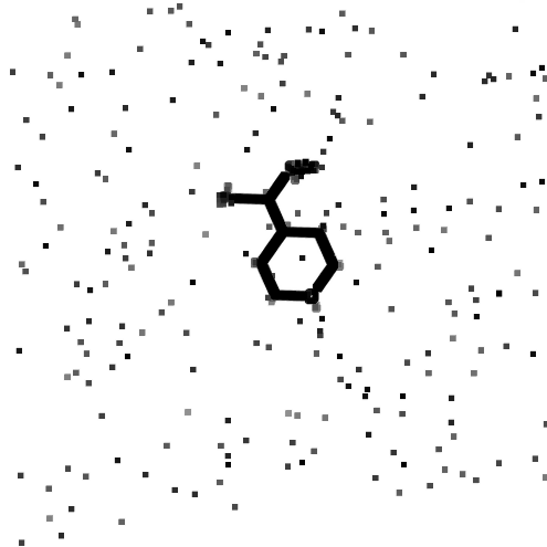 CSC(C(C)C)C1CCOCC1